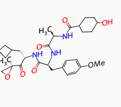 COc1ccc(C[C@H](NC(=O)[C@@H](C)NC(=O)C2CCC(O)CC2)C(=O)N[C@@H](CC2CCC2)C(=O)[C@]2(C)CO2)cc1